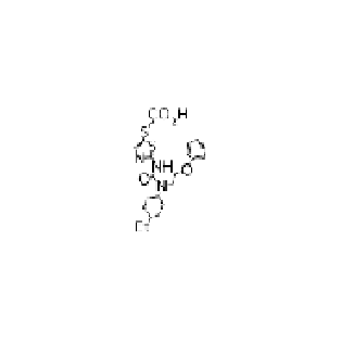 CC[C@H]1CC[C@H](N(CCOc2ccccc2)C(=O)Nc2ncc(SCC(=O)O)s2)CC1